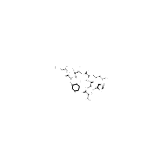 CC(C)C[C@H](NC(=O)[C@H](Cc1ccccc1)NC(=O)[C@H](C)NC(=O)[C@H](CCCCN)N(C(=O)[C@H](Cc1c[nH]cn1)NC(=O)[C@@H](N)CC(=O)O)C(C)C)C(=O)O